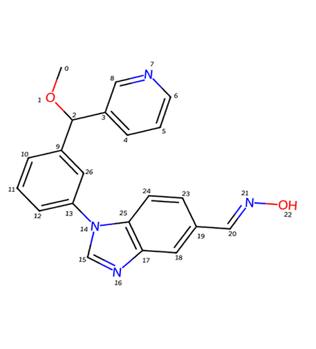 COC(c1cccnc1)c1cccc(-n2cnc3cc(/C=N/O)ccc32)c1